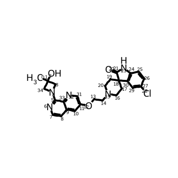 CC1(O)CN(c2nccc3cc(OCCN4CCC5(CC4)C(=O)Nc4ccc(Cl)cc45)cnc23)C1